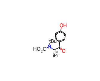 CC(C)[C@@H](C(=O)c1ccc(O)cc1)N(C(=O)O)C(C)(C)C